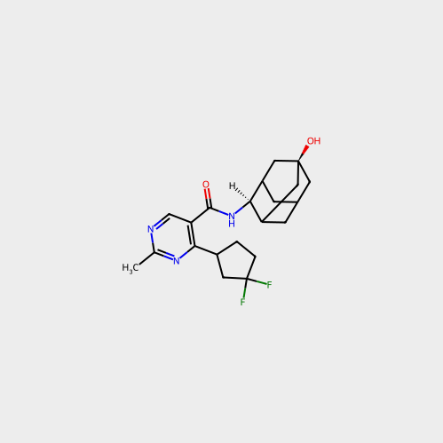 Cc1ncc(C(=O)N[C@H]2C3CC4CC2C[C@@](O)(C4)C3)c(C2CCC(F)(F)C2)n1